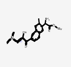 Cc1cc2cc(C(=O)/C(C#N)=C/N(C)C)ccc2cc1C(N)C(=O)OC(C)(C)C